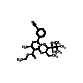 CCOC(=O)c1c(N)nc(-c2cccc(C#N)c2)nc1OC(CC)C(O)[Si](C)(C)C(C)(C)C